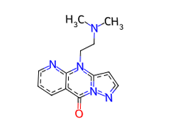 CN(C)CCn1c2ncccc2c(=O)n2nccc12